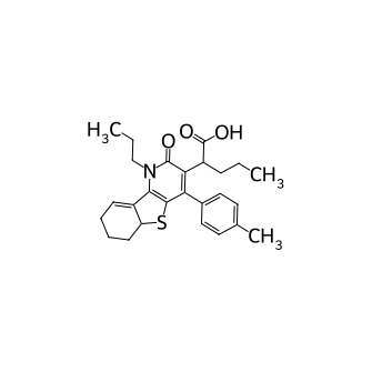 CCCC(C(=O)O)c1c(-c2ccc(C)cc2)c2c(n(CCC)c1=O)C1=CCCCC1S2